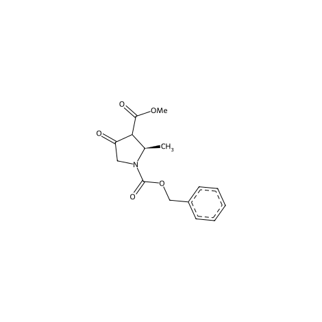 COC(=O)C1C(=O)CN(C(=O)OCc2ccccc2)[C@@H]1C